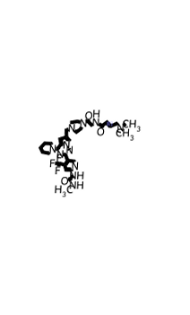 CNC(=O)Nc1cc(C(F)(F)F)c(-c2nc(N3CCCCC3)c3cc(CN4CCN(C(=O)CNC(=O)/C=C/CN(C)C)CC4)cn3n2)cn1